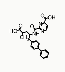 C[C@H](CC(Cc1ccc(-c2ccccc2)cc1)NC(=O)c1nccc(C(=O)O)n1)C(=O)O